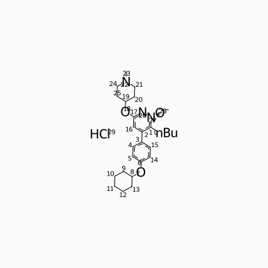 CCCCc1c(-c2ccc(OC3CCCCC3)cc2)cc(OC2CCN(C)CC2)n[n+]1[O-].Cl